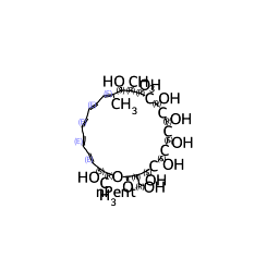 CCCCC[C@@H](O)[C@H]1C(=O)O[C@H](C)[C@@H](O)/C=C/C=C/C=C/C=C/C=C(\C)[C@@H](O)[C@H](C)[C@H](O)C[C@H](O)C[C@H](O)C[C@H](O)C[C@H](O)C[C@@H]1O